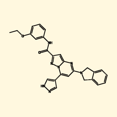 CCOc1cccc(NC(=O)c2cc3nc(N4Cc5ccccc5C4)cc(-c4cn[nH]c4)n3n2)c1